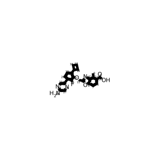 Cc1c(C(=O)O)ccc2oc(COc3c(C4CCC4)ccc(-c4cnc(N)cn4)c3F)nc12